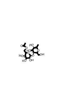 CC(=O)OCC1O[C@@H](O[C@@H]2C(CO)OC(C)[C@@H](O)C2O)[C@@H](O)C(O)[C@H]1O